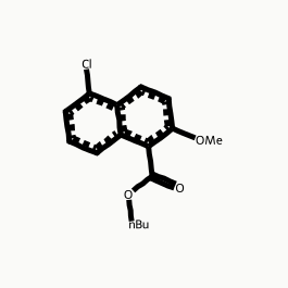 CCCCOC(=O)c1c(OC)ccc2c(Cl)cccc12